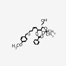 COc1ccc(COCC/C=C\C(OC(=O)c2ccccc2)C2OC(C)(C)O[C@H]2CCO)cc1